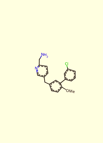 COc1ccc(Cc2ccc(CN)nc2)cc1-c1cccc(Cl)c1